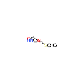 O=c1ccc2cc(OCCCCSc3ccc(-c4ccccc4)cc3)ccc2[nH]1